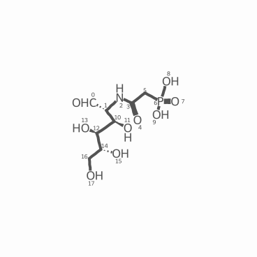 O=C[C@H](NC(=O)CP(=O)(O)O)[C@@H](O)[C@H](O)[C@H](O)CO